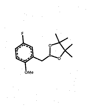 COc1ccc(F)cc1CB1OC(C)(C)C(C)(C)O1